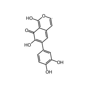 O=c1c(O)c(-c2ccc(O)c(O)c2)cc2c[c]oc(O)c1-2